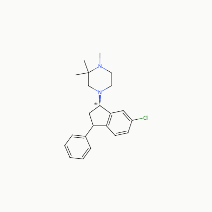 CN1CCN([C@@H]2CC(c3ccccc3)c3ccc(Cl)cc32)CC1(C)C